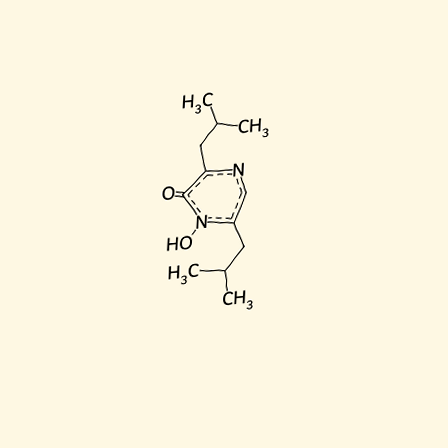 CC(C)Cc1ncc(CC(C)C)n(O)c1=O